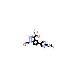 CC(=O)C(=N)c1cc(-c2cnc(C)nc2)ccc1NCC=O